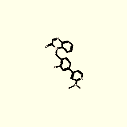 CN(C)c1cc(-c2ccc(Cn3c(=O)cnc4ccccc43)c(F)c2)ccn1